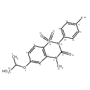 CC(Oc1ccc2c(c1)N(C)C(=O)N(c1ccc(F)cc1)S2(=O)=O)C(=O)O